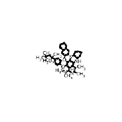 CC1NC(N(C)C)c2c(Oc3ccc(C(C)(C)CC(C)(C)C)cc3)c(Oc3ccc4ccccc4c3)c3c(c2[C@@H]1C)Nc1ccccc1S3